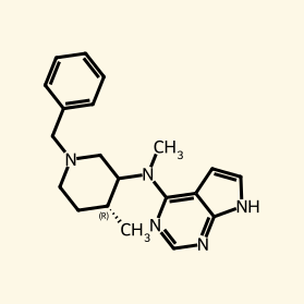 C[C@@H]1CCN(Cc2ccccc2)CC1N(C)c1ncnc2[nH]ccc12